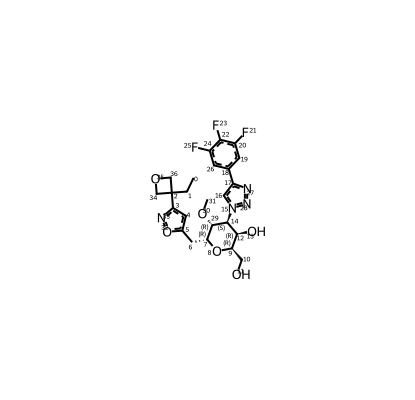 CCC1(c2cc(C[C@H]3O[C@H](CO)[C@H](O)[C@H](n4cc(-c5cc(F)c(F)c(F)c5)nn4)[C@H]3OC)on2)COC1